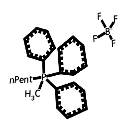 CCCCCP(C)(c1ccccc1)(c1ccccc1)c1ccccc1.F[B-](F)(F)F